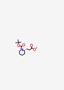 COC(=O)CC[C@@H]1CCCCN1C(=O)OC(C)(C)C